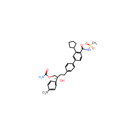 CS(=O)(=O)NC(=O)c1ccc(-c2ccc(CC[C@](O)(COC(N)=O)c3ccc([N+](=O)[O-])cc3)cc2)cc1C1CCCC1